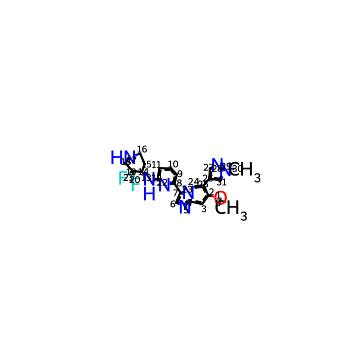 COc1cc2ncc(-c3cccc(N[C@@H]4CCNCC4(F)F)n3)n2cc1-c1cnn(C)c1